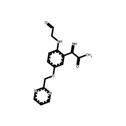 CC(=O)C(=N)c1cc(OCc2ncccn2)ccc1NCC=O